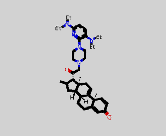 CCN(CC)c1ccc(N(CC)CC)c(N2CCN(CC(=O)[C@H]3C(C)C[C@H]4[C@@H]5CCC6=CC(=O)C=C[C@]6(C)C5=CC[C@]34C)CC2)n1